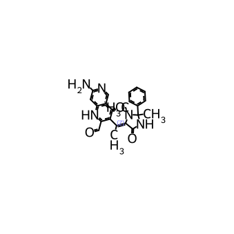 C/C(=C1\C(=O)NC(C)(c2ccccc2)N1C)c1c(C=O)[nH]c2cc(N)ncc2c1=O